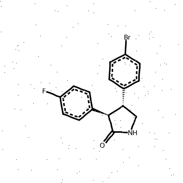 O=C1NC[C@@H](c2ccc(Br)cc2)[C@@H]1c1ccc(F)cc1